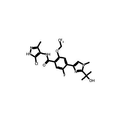 Cc1n[nH]c(Cl)c1NC(=O)c1cc(F)c(-c2cn(C)c(C(C)(C)O)n2)cc1OCC(F)(F)F